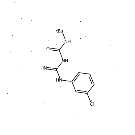 CC(C)(C)NC(=O)NC(=N)Nc1cccc(Cl)c1